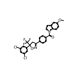 COc1ccc2c(ccn2C(=O)c2ccc(C3=NOC(c4cc(Cl)cc(Cl)c4)(C(F)(F)F)C3)cc2)c1